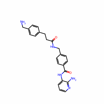 NCc1ccc(CCC(=O)NCc2ccc(C(=O)Nc3cccnc3N)cc2)cc1